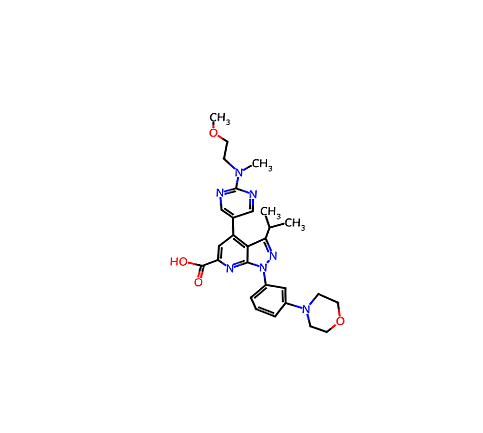 COCCN(C)c1ncc(-c2cc(C(=O)O)nc3c2c(C(C)C)nn3-c2cccc(N3CCOCC3)c2)cn1